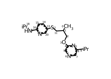 CC(COc1cncc(C(C)C)n1)CSc1ccc(NC(C)C)nc1